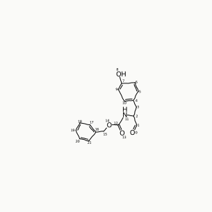 O=CC(Cc1ccc(O)cc1)NC(=O)OCc1ccccc1